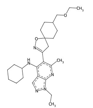 CCOCC1CCC2(CC1)CC(c1c(C)nc3c(cnn3CC)c1NC1CCCCC1)=NO2